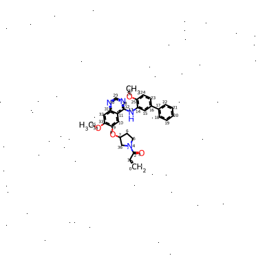 C=CC(=O)N1CCC(Oc2cc3c(Nc4cc(-c5ccccc5)ccc4OC)ncnc3cc2OC)C1